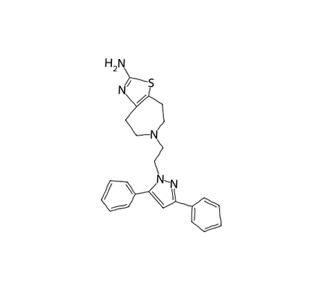 Nc1nc2c(s1)CCN(CCn1nc(-c3ccccc3)cc1-c1ccccc1)CC2